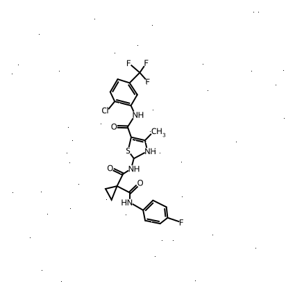 CC1=C(C(=O)Nc2cc(C(F)(F)F)ccc2Cl)SC(NC(=O)C2(C(=O)Nc3ccc(F)cc3)CC2)N1